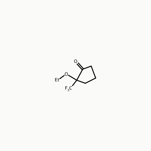 CCOC1(C(F)(F)F)CCCC1=O